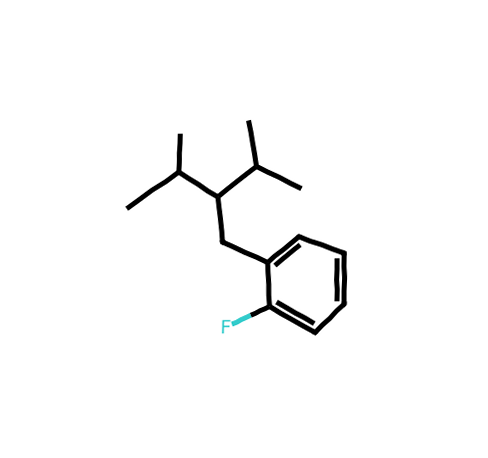 CC(C)C(Cc1ccccc1F)C(C)C